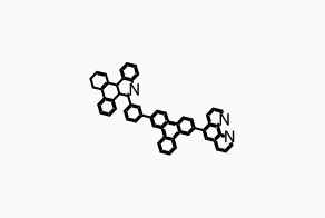 C1=CC2=C(CC1)c1ccccc1C1C(c3cccc(-c4ccc5c6ccc(-c7cc8cccnc8c8ncccc78)cc6c6ccccc6c5c4)c3)=Nc3ccccc3C21